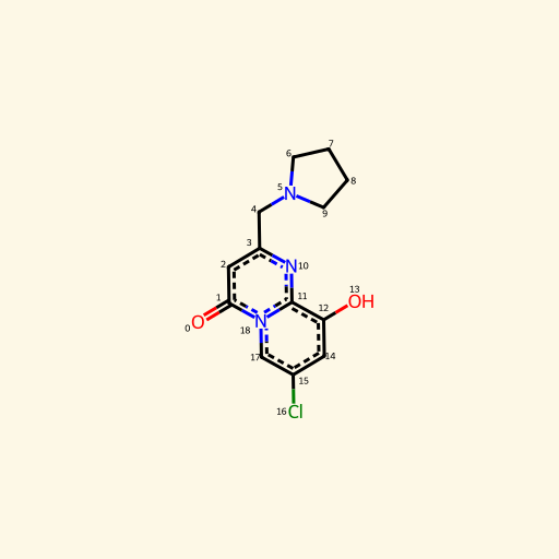 O=c1cc(CN2CCCC2)nc2c(O)cc(Cl)cn12